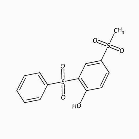 CS(=O)(=O)c1ccc(O)c(S(=O)(=O)c2ccccc2)c1